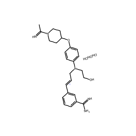 CC(=N)N1CCC(Oc2ccc(N(C/C=C/c3cccc(C(=N)N)c3)CCO)cc2)CC1.Cl.Cl.Cl